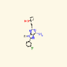 CCn1c(-c2cccc(F)c2)nc2c(N)nc(C#CC3(O)CCC3)nc21